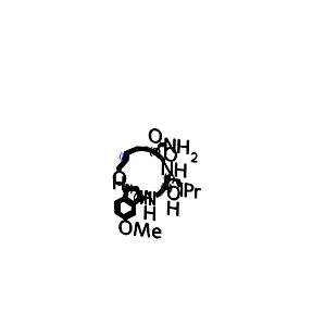 COc1ccc2c(c1)[C@@H]1C[C@H]2OC/C=C/CC[C@@H](C(N)=O)C(=O)N[C@@H](CC(C)C)[C@H](O)CN1